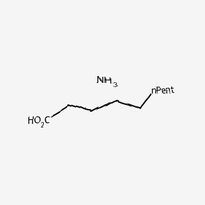 CCCCCCCCCC(=O)O.N